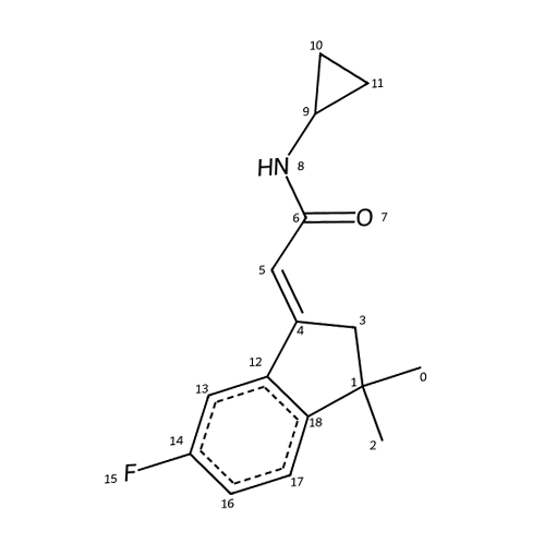 CC1(C)CC(=CC(=O)NC2CC2)c2cc(F)ccc21